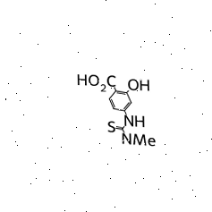 CNC(=S)Nc1ccc(C(=O)O)c(O)c1